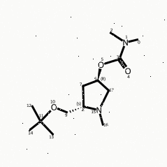 CN(C)C(=O)O[C@@H]1C[C@@H](COC(C)(C)C)N(C)C1